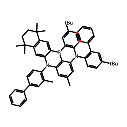 Cc1cc2c3c(c1)N(c1ccc(C(C)(C)C)cc1-c1ccccc1)c1ccc(C(C)(C)C)cc1B3c1cc3c(cc1N2c1ccc(-c2ccccc2)cc1C)C(C)(C)CCC3(C)C